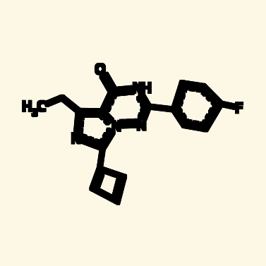 CCc1nc(C2=CC=C2)n2nc(-c3ccc(F)cc3)[nH]c(=O)c12